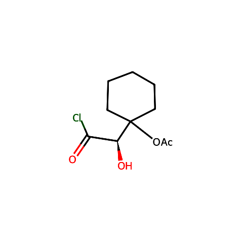 CC(=O)OC1([C@@H](O)C(=O)Cl)CCCCC1